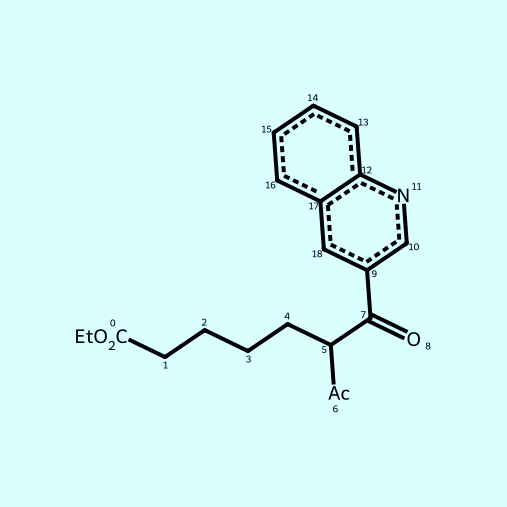 CCOC(=O)CCCCC(C(C)=O)C(=O)c1cnc2ccccc2c1